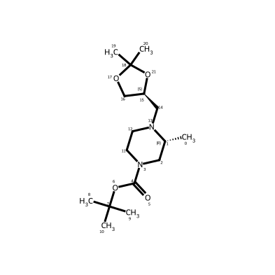 C[C@@H]1CN(C(=O)OC(C)(C)C)CCN1C[C@H]1COC(C)(C)O1